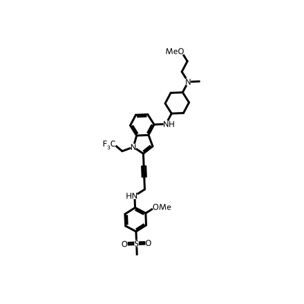 COCCN(C)C1CCC(Nc2cccc3c2cc(C#CCNc2ccc(S(C)(=O)=O)cc2OC)n3CC(F)(F)F)CC1